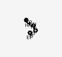 CCOc1ccccc1O[C@@H]1CCCN(c2cncc(NC(=O)CC34CCC(CC3)CC4)n2)C1